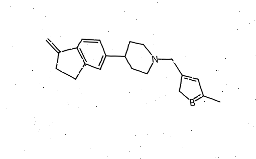 C=C1CCc2cc(C3CCN(CC4=CC(C)=BC4)CC3)ccc21